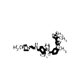 Cc1ccc(C(=O)Nc2ccc(CNCCN3CCN(C)CC3)c(C(F)(F)F)c2)cc1-n1cc(-c2cnn(C)c2C)nn1